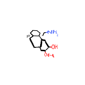 NCC[C@@]12CCCC[C@@H]1CCc1cc(O)c(O)cc12